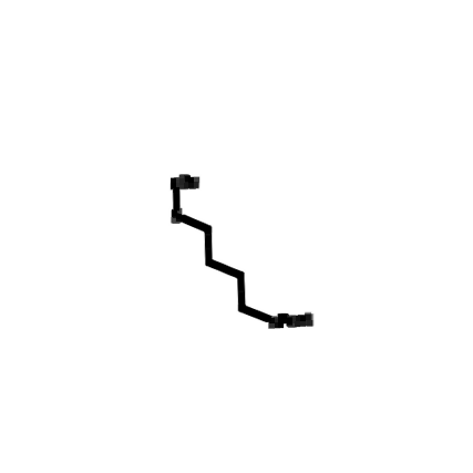 [CH2]CCCCCCCCSCCCC